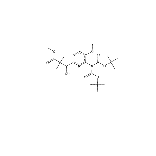 COC(=O)C(C)(C)C(O)c1ccc(OC)c(N(C(=O)OC(C)(C)C)C(=O)OC(C)(C)C)n1